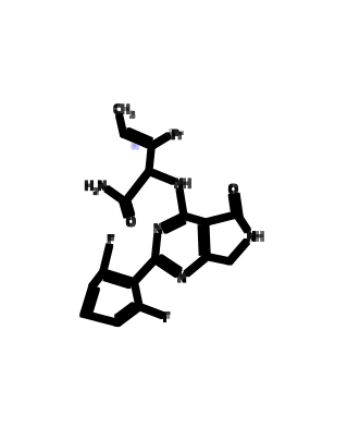 C/C=C(\C(C)C)C(Nc1nc(-c2c(F)cccc2F)nc2c1C(=O)NC2)C(N)=O